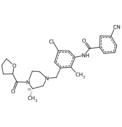 Cc1c(CN2CCN(C(=O)C3CCCO3)[C@@H](C)C2)cc(Cl)cc1NC(=O)c1cccc(C#N)c1